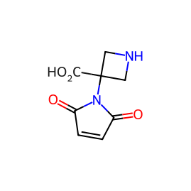 O=C1C=CC(=O)N1C1(C(=O)O)CNC1